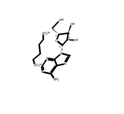 Nc1ncnc2c1ncn2[C@@H]1O[C@H](CO)[C@@H](O)[C@H]1O.O=S(=O)(O)CCCCS(=O)(=O)O